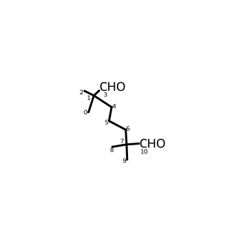 CC(C)(C=O)CCCC(C)(C)C=O